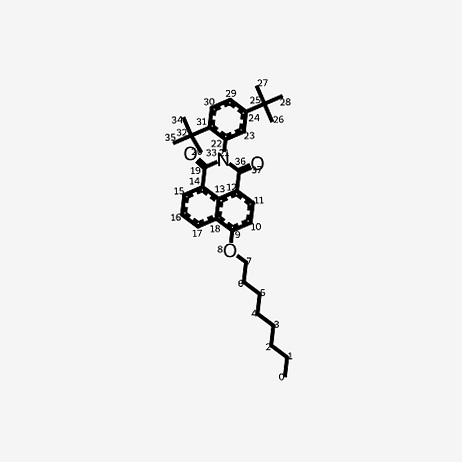 CCCCCCCCOc1ccc2c3c(cccc13)C(=O)N(c1cc(C(C)(C)C)ccc1C(C)(C)C)C2=O